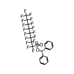 O=S(=O)(O[I+](c1ccccc1)c1ccccc1)C(F)(F)C(F)(F)C(F)(F)C(F)(F)C(F)(F)C(F)(F)C(F)(F)C(F)(F)F